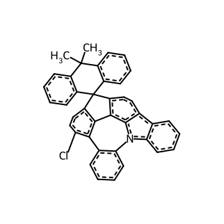 CC1(C)c2ccccc2C2(c3ccccc31)c1ccc(Cl)c3c1-c1c2ccc2c4ccccc4n(c12)-c1ccccc1-3